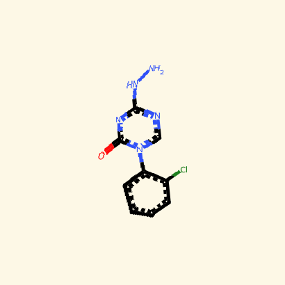 NNc1ncn(-c2ccccc2Cl)c(=O)n1